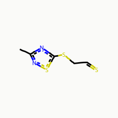 Cc1nsc(SCC=S)n1